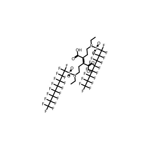 CCN(CC/C(C(=O)O)=C(/CCN(CC)S(=O)(=O)C(F)(F)C(F)(F)C(F)(F)C(F)(F)C(F)(F)C(F)(F)C(F)(F)C(F)(F)F)C(=O)O)S(=O)(=O)C(F)(F)C(F)(F)C(F)(F)C(F)(F)C(F)(F)C(F)(F)C(F)(F)C(F)(F)F